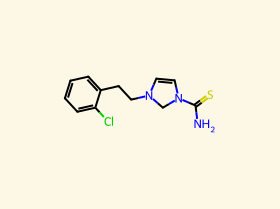 NC(=S)N1C=CN(CCc2ccccc2Cl)C1